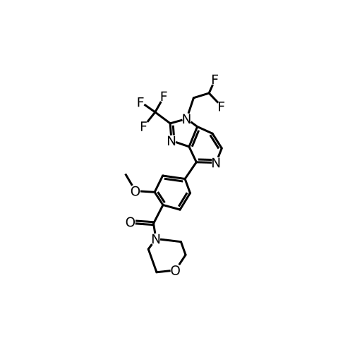 COc1cc(-c2nccc3c2nc(C(F)(F)F)n3CC(F)F)ccc1C(=O)N1CCOCC1